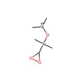 C[SiH](C)O[Si](C)(C)C1OO1